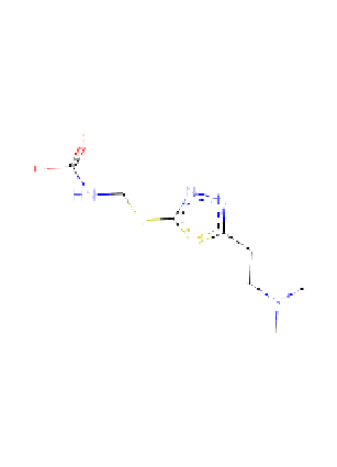 CN(C)CCc1nnc(SCNC([O])=O)s1